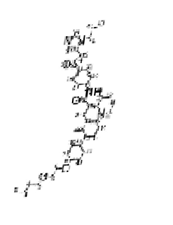 CCCCOCCOc1ccc(-c2ccc(N(CC)CC(C)C)c(/C=C/C(=O)Nc3ccc([S@@+]([O-])Cc4cncn4CCC)cc3)c2)cc1